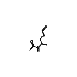 CC(=O)NC(C)CSC=O